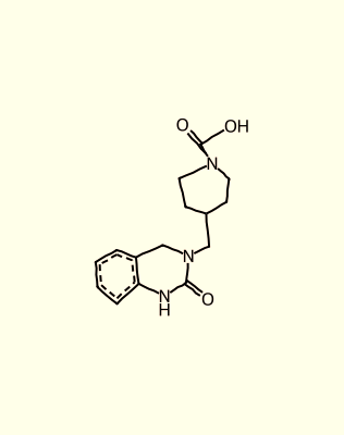 O=C(O)N1CCC(CN2Cc3ccccc3NC2=O)CC1